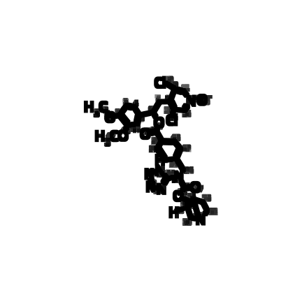 COc1ccc(C(Cc2c(Cl)c[n+]([O-])cc2Cl)OC(=O)c2ccc(CN(C(=O)O[C@H]3CN4CCC3CC4)c3nnn[nH]3)cc2)cc1OC